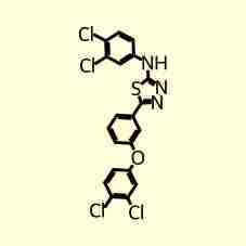 Clc1ccc(Nc2nnc(-c3cccc(Oc4ccc(Cl)c(Cl)c4)c3)s2)cc1Cl